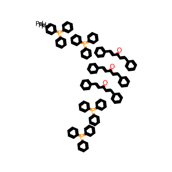 O=C(C=Cc1ccccc1)C=Cc1ccccc1.O=C(C=Cc1ccccc1)C=Cc1ccccc1.O=C(C=Cc1ccccc1)C=Cc1ccccc1.[Pd].[Pd].[Pd].c1ccc(P(c2ccccc2)c2ccccc2)cc1.c1ccc(P(c2ccccc2)c2ccccc2)cc1.c1ccc(P(c2ccccc2)c2ccccc2)cc1.c1ccc(P(c2ccccc2)c2ccccc2)cc1